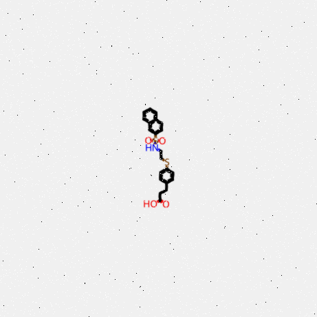 O=C(O)CCc1ccc(SCCNS(=O)(=O)c2ccc3ccccc3c2)cc1